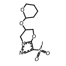 O=S(=O)(I)c1cnn2c1OCC(OC1CCCCO1)C2